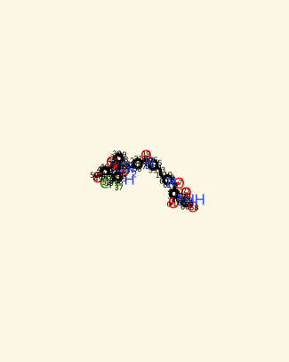 COc1ccc(C(=O)N2CCC(CCC3CCN(C(=O)C4CCC(NC[C@]5(c6ccccc6)Oc6cc(F)c(Cl)c(-c7c(C(N)=O)ccc(OC)c7F)c6[C@@H]5C)CC4)CC3)CC2)cc1N1CCC(=O)NC1=O